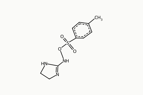 Cc1ccc(S(=O)(=O)ONC2=NCCN2)cc1